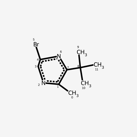 Cc1ncc(Br)nc1C(C)(C)C